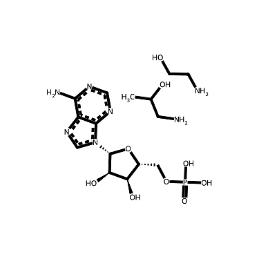 CC(O)CN.NCCO.Nc1ncnc2c1ncn2[C@@H]1O[C@H](COP(=O)(O)O)[C@@H](O)[C@H]1O